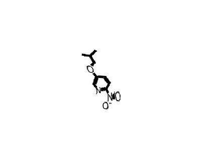 CC(C)COc1ccc([N+](=O)[O-])nc1